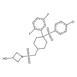 O=S(=O)(CC1CCC(c2cc(F)ccc2F)(S(=O)(=O)c2ccc(Cl)cc2)CC1)N1CC(O)C1